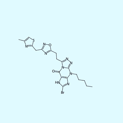 CCCCCn1c2nc(Br)[nH]c2c(=O)n2c(CCc3nc(Cc4nc(C)cs4)no3)nnc12